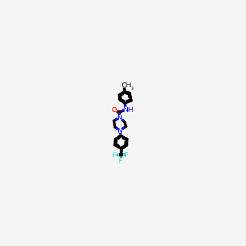 Cc1ccc(NC(=O)N2CCN(c3ccc(C(F)(F)F)cc3)CC2)cc1